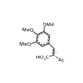 COc1cc(/C=C(/C(C)=O)C(=O)O)cc(OC)c1OC